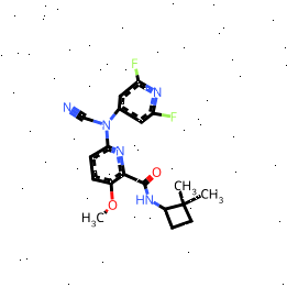 COc1ccc(N(C#N)c2cc(F)nc(F)c2)nc1C(=O)NC1CCC1(C)C